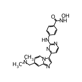 CN(C)Cc1ccn2c(-c3ccnc(Nc4ccc(C(=O)NO)cc4)n3)cnc2c1